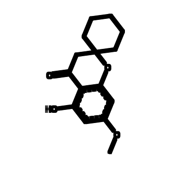 COc1cc(O)c2c(c1)OC1(CCCCC1)CC2=O